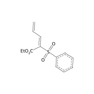 C=CC=C(C(=O)OCC)S(=O)(=O)c1ccccc1